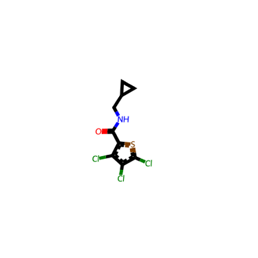 O=C(NCC1CC1)c1sc(Cl)c(Cl)c1Cl